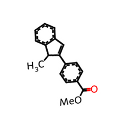 COC(=O)c1ccc(C2=Cc3ccccc3C2C)cc1